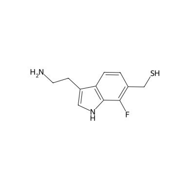 NCCc1c[nH]c2c(F)c(CS)ccc12